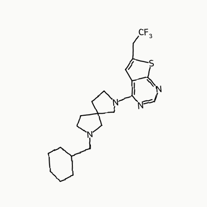 FC(F)(F)Cc1cc2c(N3CCC4(CCN(CC5CCCCC5)C4)C3)ncnc2s1